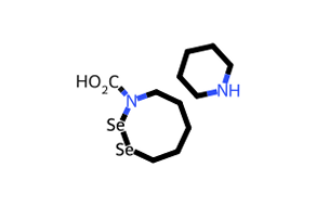 C1CCNCC1.O=C(O)N1CCCCC[Se][Se]1